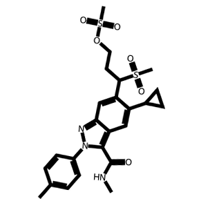 CNC(=O)c1c2cc(C3CC3)c(C(CCOS(C)(=O)=O)S(C)(=O)=O)cc2nn1-c1ccc(C)cc1